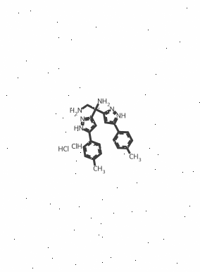 Cc1ccc(-c2cc(C(N)(CN)c3cc(-c4ccc(C)cc4)[nH]n3)n[nH]2)cc1.Cl.Cl